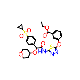 CCOC(=O)c1cccc(Oc2nnc(NC(=O)C(OC3CCOCC3)c3ccc(S(=O)(=O)C4CC4)cc3)s2)c1